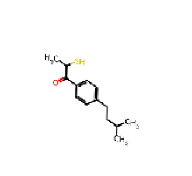 CC(C)CCc1ccc(C(=O)C(C)S)cc1